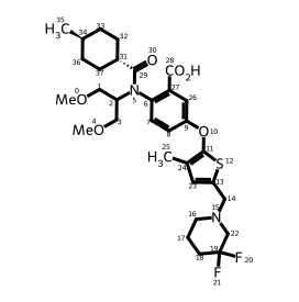 COCC(COC)N(c1ccc(Oc2sc(CN3CCCC(F)(F)C3)cc2C)cc1C(=O)O)C(=O)[C@H]1CC[C@H](C)CC1